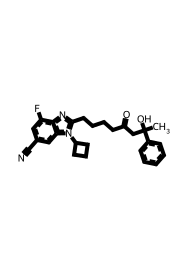 CC(O)(CC(=O)CCCCc1nc2c(F)cc(C#N)cc2n1C1CCC1)c1ccccc1